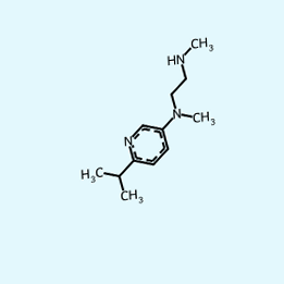 CNCCN(C)c1ccc(C(C)C)nc1